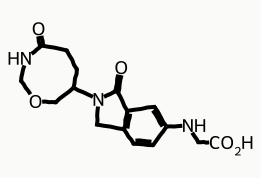 O=C(O)CNc1ccc2c(c1)C(=O)N(C1CCC(=O)NCOC1)C2